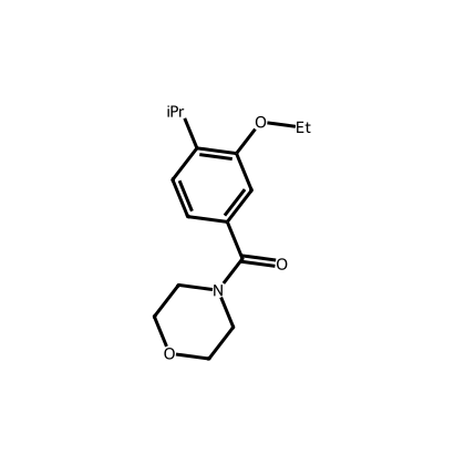 CCOc1cc(C(=O)N2CCOCC2)ccc1C(C)C